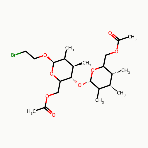 CC(=O)OCC1O[C@@H](OCCBr)C(C)[C@@H](C)[C@@H]1O[C@@H]1OC(COC(C)=O)[C@H](C)[C@H](C)C1C